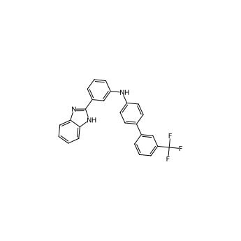 FC(F)(F)c1cccc(-c2ccc(Nc3cccc(-c4nc5ccccc5[nH]4)c3)cc2)c1